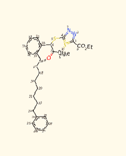 CCOC(=O)c1nnc(SC(C(=O)OC)c2ccccc2CCCCCCCCc2ccccc2)s1